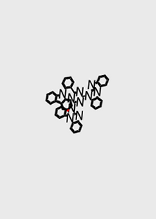 c1ccc(-n2c3ccccc3c3ccccc32)c(-c2nc(-n3c4ccccc4n4c5ccccc5nc34)nc(-n3c4ccccc4n4c5ccccc5nc34)n2)c1